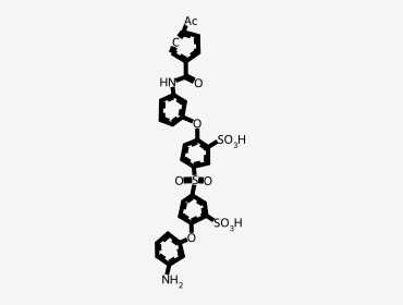 CC(=O)c1ccc(C(=O)Nc2cccc(Oc3ccc(S(=O)(=O)c4ccc(Oc5cccc(N)c5)c(S(=O)(=O)O)c4)cc3S(=O)(=O)O)c2)cc1